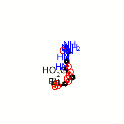 CCOP(=O)(OCC)OCCc1ccc(OC(=O)c2ccccc2OC(=O)CC[C@H](NC(=O)c2ccc(NCc3cnc4[nH]c(N)nc(=O)c4n3)cc2)C(=O)O)cc1